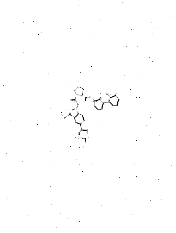 COc1ncc(-c2ccc3c(c2)c(CN)nn3CC(=O)N2C[C@H](F)C[C@H]2C(=O)Nc2cccc(-c3ccccc3Cl)c2F)cn1